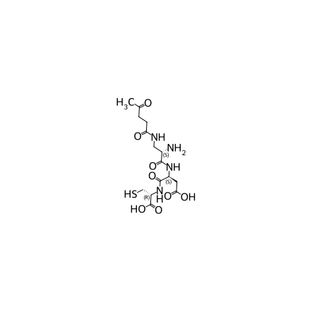 CC(=O)CCC(=O)NC[C@H](N)C(=O)N[C@@H](CC(=O)O)C(=O)N[C@@H](CS)C(=O)O